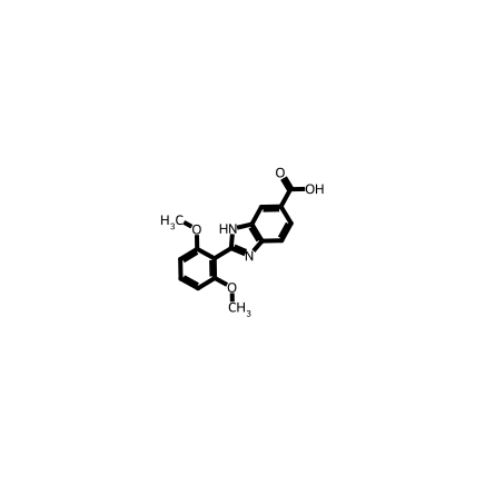 COc1cccc(OC)c1-c1nc2ccc(C(=O)O)cc2[nH]1